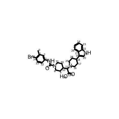 Cc1cc(NC(=O)N2CCC(C(C(=O)O)N3CCC(c4c[nH]c5ccccc45)CC3)CC2)ccc1Br